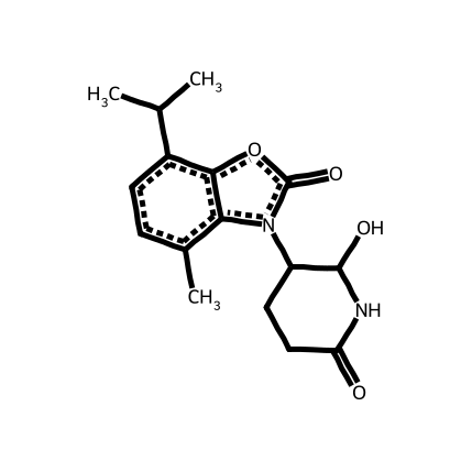 Cc1ccc(C(C)C)c2oc(=O)n(C3CCC(=O)NC3O)c12